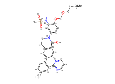 COCCOCOc1ccc(N2CCc3cc(-c4ccc(C(F)(F)F)cc4-c4ncccn4)ccc3C2=O)cc1NS(C)(=O)=O